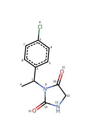 CC(c1ccc(Cl)cc1)N1C(=O)CNC1=O